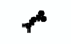 c1ccc(C2=C(c3ccccc3)SC(c3ccc4c(c3)SC(=C3CNCNC3)S4)S2)cc1